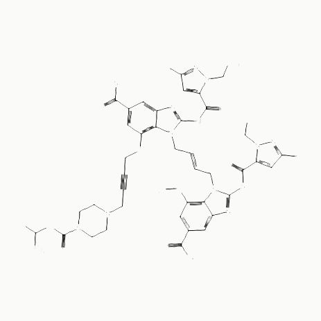 CCn1nc(C)cc1C(=O)Nc1nc2cc(C(=O)O)cc(OC)c2n1C/C=C/Cn1c(NC(=O)c2cc(C)nn2CC)nc2cc(C(N)=O)cc(OCC#CCN3CCN(C(=O)OC(C)C)CC3)c21